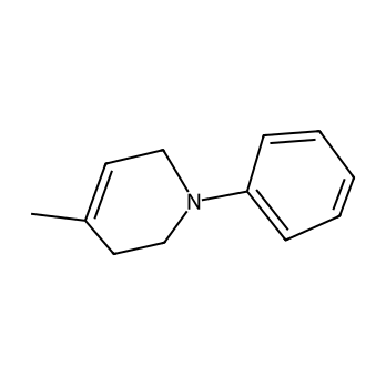 CC1=CCN(c2ccccc2)CC1